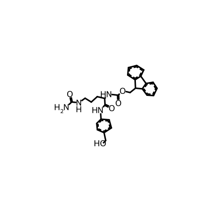 NC(=O)NCCCC(NC(=O)OCC1c2ccccc2-c2ccccc21)C(=O)Nc1ccc(CO)cc1